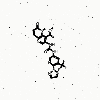 COC(C)c1c(NC(=O)Nc2cnc(-n3nccn3)c(C(F)(F)F)c2)cnc2ccc(=O)n(C)c12